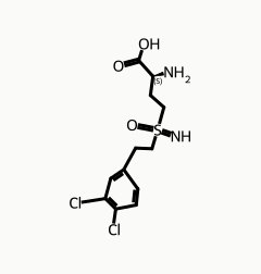 N=S(=O)(CCc1ccc(Cl)c(Cl)c1)CC[C@H](N)C(=O)O